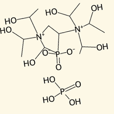 CC(O)[N+](CC([N+](C(C)O)(C(C)O)C(C)O)P(=O)([O-])[O-])(C(C)O)C(C)O.O=P(O)(O)O